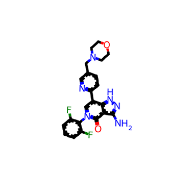 Nc1n[nH]c2c(-c3ccc(CN4CCOCC4)cn3)cn(-c3c(F)cccc3F)c(=O)c12